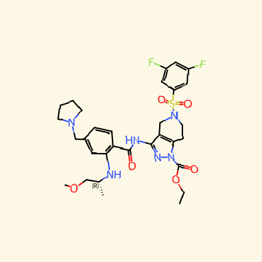 CCOC(=O)n1nc(NC(=O)c2ccc(CN3CCCC3)cc2N[C@H](C)COC)c2c1CCN(S(=O)(=O)c1cc(F)cc(F)c1)C2